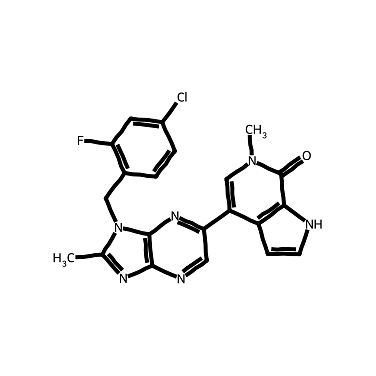 Cc1nc2ncc(-c3cn(C)c(=O)c4[nH]ccc34)nc2n1Cc1ccc(Cl)cc1F